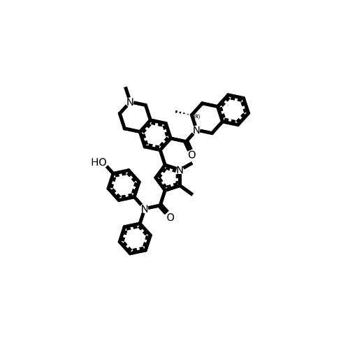 Cc1c(C(=O)N(c2ccccc2)c2ccc(O)cc2)cc(-c2cc3c(cc2C(=O)N2Cc4ccccc4C[C@H]2C)CN(C)CC3)n1C